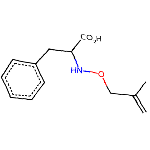 C=C(C)CONC(Cc1ccccc1)C(=O)O